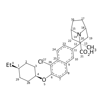 CC[C@H]1CC[C@@H](Oc2ccc3cc([C@@H](C)N4C5CCC4CC(C(=O)O)C5)ccc3c2Cl)CC1